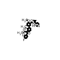 CNC(=O)c1c(-c2ccc(F)cc2)oc2ccc(-c3cc(C(=O)NC4(c5ccncn5)CC4)c(OC)cc3C)c(F)c12